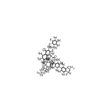 [2H]c1c([2H])c(F)c(F)c(C([2H])([2H])Sc2c([2H])c(=O)c3c([2H])c([2H])c([2H])c([2H])c3n2C([2H])([2H])C(=O)N(C([2H])([2H])c2c([2H])c([2H])c(-c3c([2H])c([2H])c(C(F)(F)F)c(C)c3[2H])c([2H])c2[2H])C2([2H])C([2H])([2H])C([2H])([2H])N(C([2H])([2H])C([2H])([2H])OC([2H])([2H])[2H])C([2H])([2H])C2([2H])[2H])c1[2H]